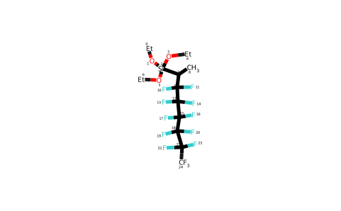 CCO[Si](OCC)(OCC)C(C)C(F)(F)C(F)(F)C(F)(F)C(F)(F)C(F)(F)C(F)(F)F